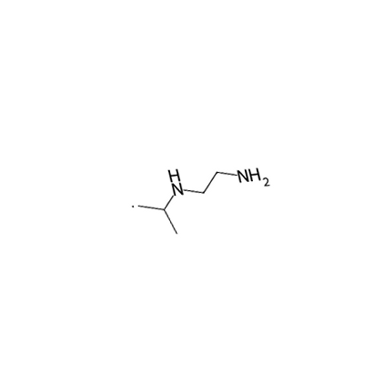 [CH2]C(C)NCCN